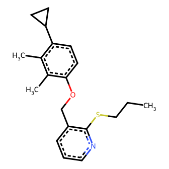 CCCSc1ncccc1COc1ccc(C2CC2)c(C)c1C